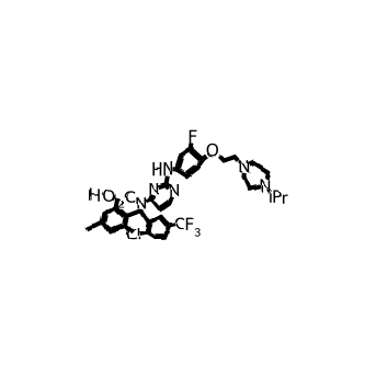 Cc1cc(C)c(C(c2cc(C(F)(F)F)ccc2Cl)N(C(=O)O)c2ccnc(Nc3ccc(OCCN4CCN(C(C)C)CC4)c(F)c3)n2)c(C)c1